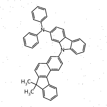 CC1(C)c2ccccc2-c2c1ccc1cc(-n3c4ccccc4c4ccc(N(c5ccccc5)c5ccccc5)cc43)ccc21